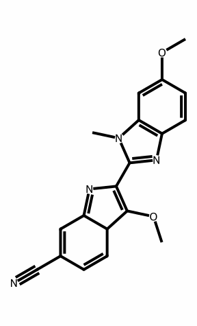 COC1=C(c2nc3ccc(OC)cc3n2C)N=C2C=C(C#N)C=CC21